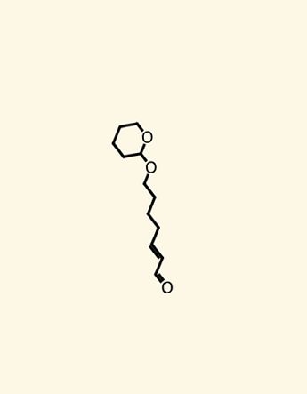 O=CC=CCCCCOC1CCCCO1